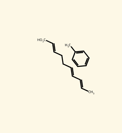 CC=CC=CCCC=CC(=O)O.Cc1ccccc1